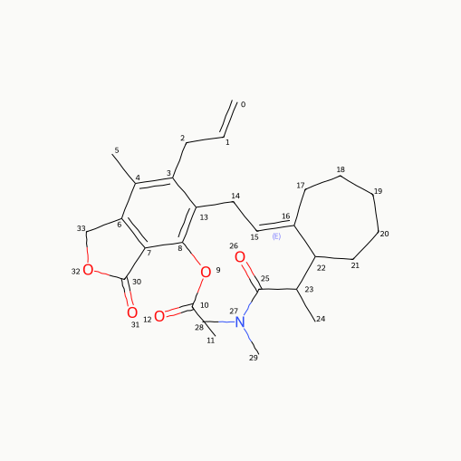 C=CCc1c(C)c2c(c(OC(C)=O)c1C/C=C1\CCCCCC1C(C)C(=O)N(C)C)C(=O)OC2